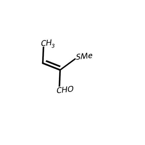 CC=C(C=O)SC